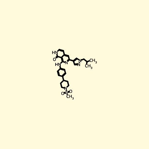 CC(C)Cn1cc(-c2cc3cc[nH]c(=O)c3c(Nc3ccc(C4CCN(S(C)(=O)=O)CC4)cc3)n2)cn1